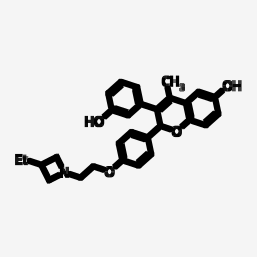 CCC1CN(CCOc2ccc(C3Oc4ccc(O)cc4C(C)=C3c3cccc(O)c3)cc2)C1